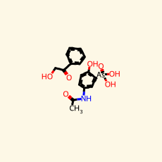 CC(=O)Nc1ccc(O)c([As](=O)(O)O)c1.O=C(CO)c1ccccc1